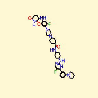 O=C1CCC(Nc2ccc(N3CCN([C@H]4CC[C@H](C(=O)N[C@H]5CC[C@H](Nc6ncc(F)c(-c7cccc(N8CCCCC8)c7)n6)CC5)CC4)CC3)c(F)c2)C(=O)N1